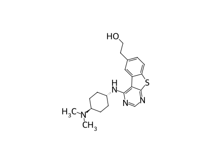 CN(C)[C@H]1CC[C@H](Nc2ncnc3sc4ccc(CCO)cc4c23)CC1